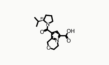 CC(C)[C@H]1CCCN1C(=O)c1cc(C(=O)O)n2c1COCC2